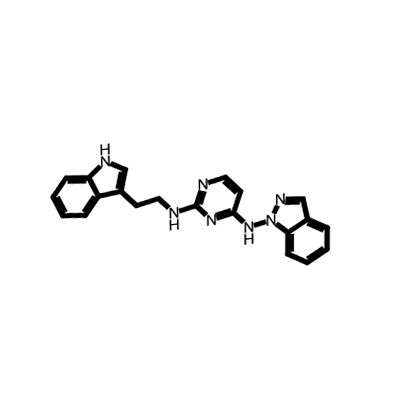 c1ccc2c(c1)cnn2Nc1ccnc(NCCc2c[nH]c3ccccc23)n1